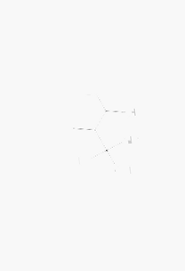 CCCC(O)(CC)C(C)C(O)CC